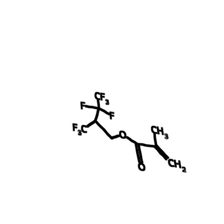 C=C(C)C(=O)OCC(C(F)(F)F)C(F)(F)C(F)(F)F